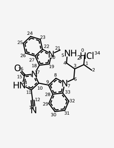 CC(C)C(CN)Cn1cc(-c2c(C#N)[nH]c(=O)n2-c2cn(C)c3ccccc23)c2ccccc21.Cl